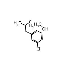 CC(C)Cc1cccc(Cl)c1.CO